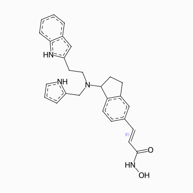 O=C(/C=C/c1ccc2c(c1)CCC2N(CCc1cc2ccccc2[nH]1)Cc1ccc[nH]1)NO